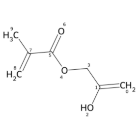 C=C(O)COC(=O)C(=C)C